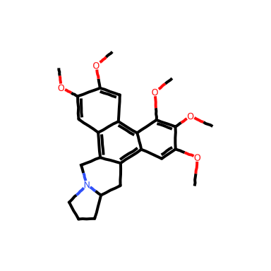 COc1cc2c3c(c4cc(OC)c(OC)c(OC)c4c2cc1OC)CC1CCCN1C3